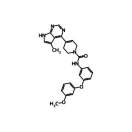 COc1cccc(Oc2cccc(NC(=O)N3CC=C(c4ncnc5[nH]cc(C)c45)CC3)c2)c1